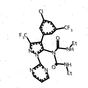 CCNC(=O)N(C(=O)NCC)c1c(-c2cc(Cl)cc(C(F)(F)F)c2)c(C(F)(F)F)nn1-c1ncccn1